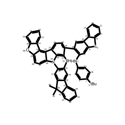 CC(C)(C)c1ccc(Nc2cc3sc4ccccc4c3cc2-c2ccc3c4c5c(ccc4n4c3c2Bc2cc3c(cc2-4)C(C)(C)c2ccccc2-3)oc2ccccc25)cc1